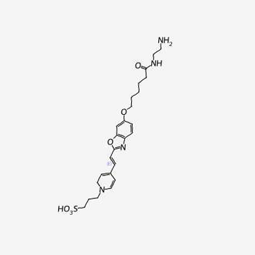 NCCNC(=O)CCCCCOc1ccc2nc(/C=C/C3=CCN(CCCS(=O)(=O)O)C=C3)oc2c1